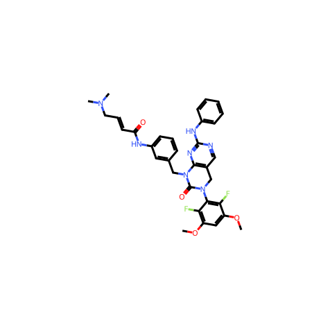 COc1cc(OC)c(F)c(N2Cc3cnc(Nc4ccccc4)nc3N(Cc3cccc(NC(=O)/C=C/CN(C)C)c3)C2=O)c1F